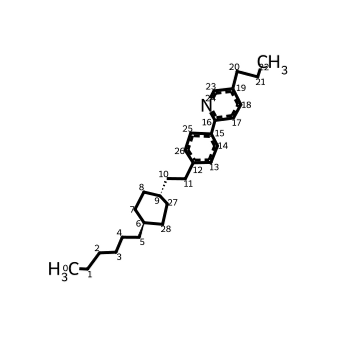 CCCCCC[C@H]1CC[C@H](CCc2ccc(-c3ccc(CCC)cn3)cc2)CC1